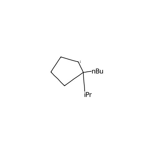 CCCCC1(C(C)C)[C]CCC1